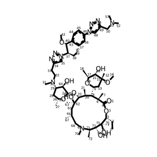 CC[C@H]1OC(=O)[C@H](C)C([C@H]2C[C@@](C)(OC)[C@@H](O)[C@H](C)O2)[C@H](C)[C@@H](O[C@@H]2O[C@H](C)C[C@H](N(C)CCc3cn([C@H](CF)[C@H](OC)c4ccc(-n5cc(CN(C)C)nn5)cc4)nn3)[C@H]2O)[C@](C)(O)C[C@@H](C)CN(C)[C@H](C)[C@@H](O)[C@]1(C)O